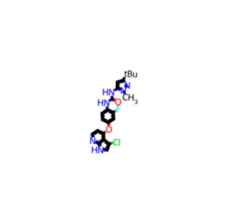 Cn1nc(C(C)(C)C)cc1NC(=O)Nc1ccc(Oc2ccnc3[nH]cc(Cl)c23)cc1F